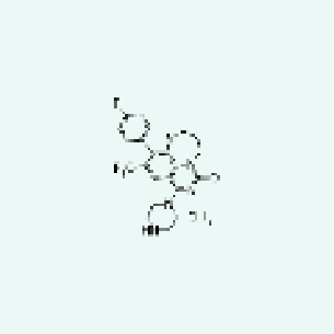 CC1CNCCN1c1nc(=O)n2c3c(c(-c4ccc(F)cc4)c(C(F)(F)F)cc13)SCCC2